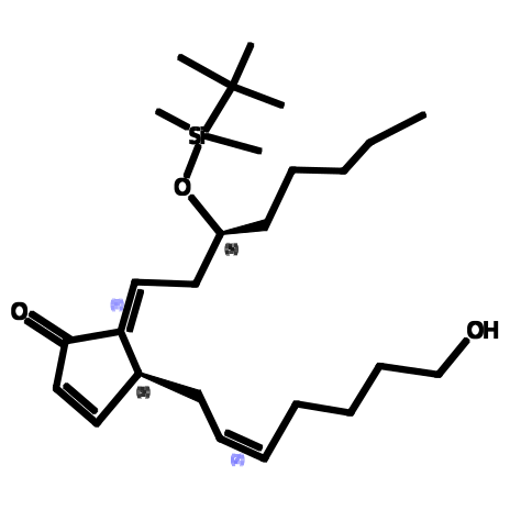 CCCCC[C@@H](C/C=C1/C(=O)C=C[C@@H]1C/C=C\CCCCO)O[Si](C)(C)C(C)(C)C